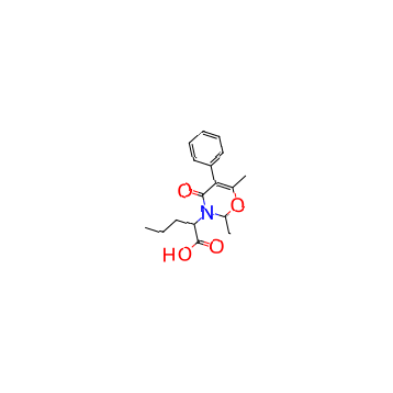 CCCC(C(=O)O)N1C(=O)C(c2ccccc2)=C(C)OC1C